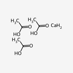 CC(=O)O.CC(=O)O.CC(=O)O.[CaH2]